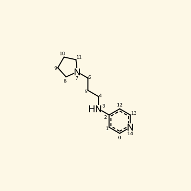 c1cc(NCCCN2CCCC2)ccn1